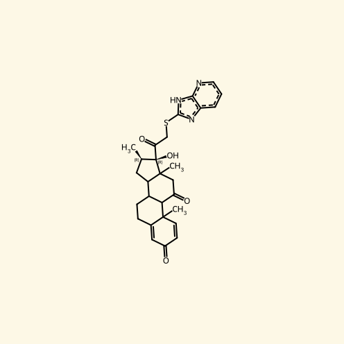 C[C@@H]1CC2C3CCC4=CC(=O)C=CC4(C)C3C(=O)CC2(C)[C@@]1(O)C(=O)CSc1nc2cccnc2[nH]1